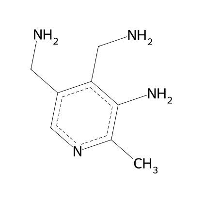 Cc1ncc(CN)c(CN)c1N